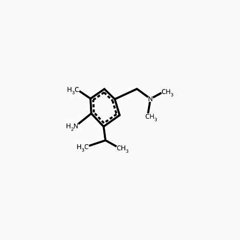 Cc1cc(CN(C)C)cc(C(C)C)c1N